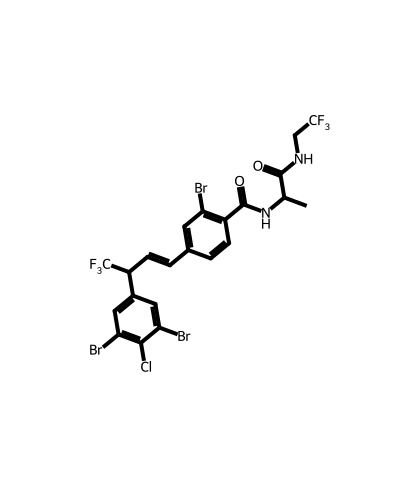 CC(NC(=O)c1ccc(/C=C/C(c2cc(Br)c(Cl)c(Br)c2)C(F)(F)F)cc1Br)C(=O)NCC(F)(F)F